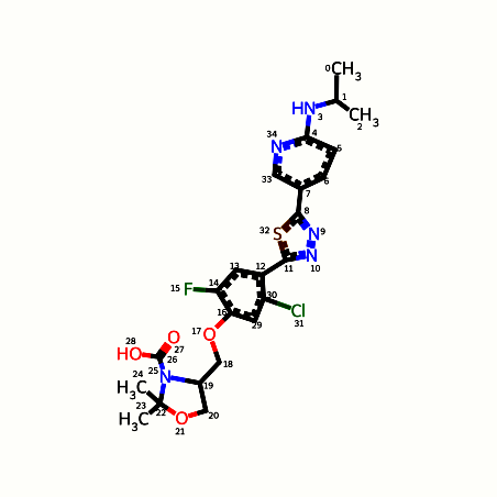 CC(C)Nc1ccc(-c2nnc(-c3cc(F)c(OCC4COC(C)(C)N4C(=O)O)cc3Cl)s2)cn1